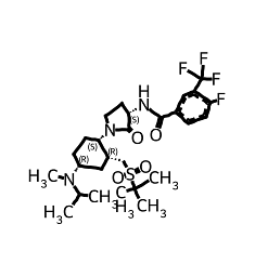 CC(C)N(C)[C@@H]1CC[C@H](N2CC[C@H](NC(=O)c3ccc(F)c(C(F)(F)F)c3)C2=O)[C@H](CS(=O)(=O)C(C)(C)C)C1